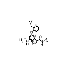 CNc1cc(Nc2cccnc2CC2CC2)nc2c(C(=O)NC3CC3)cnn12